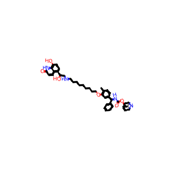 Cc1ccc(C(NC(=O)OC2CN3CCC2CC3)c2ccccc2)cc1OCCCCCCCCCNCC(O)c1ccc(O)c2[nH]c(=O)ccc12